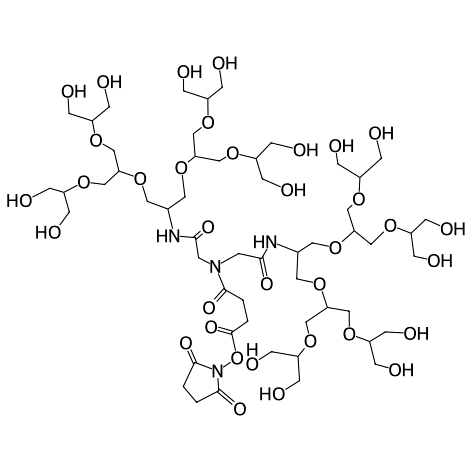 O=C(CN(CC(=O)NC(COC(COC(CO)CO)COC(CO)CO)COC(COC(CO)CO)COC(CO)CO)C(=O)CCC(=O)ON1C(=O)CCC1=O)NC(COC(COC(CO)CO)COC(CO)CO)COC(COC(CO)CO)COC(CO)CO